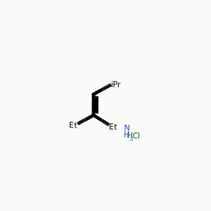 CCC(=CC(C)C)CC.Cl.N